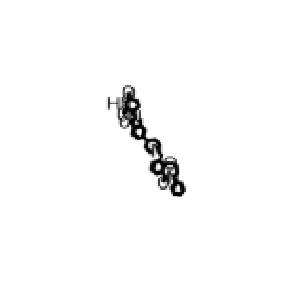 O=C1CCC(N2Cc3cc(C4CCN(Cc5cccc6c5OCCN(c5ccccc5)C6=O)CC4)ccc3C2=O)C(=O)N1